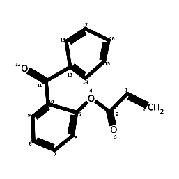 C=CC(=O)Oc1ccccc1C(=O)c1ccccc1